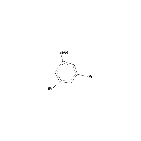 [CH2]C(C)c1cc(SC)cc(C(C)C)c1